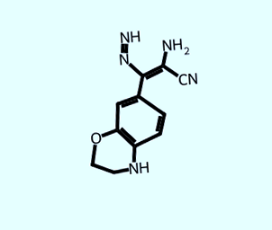 N#C/C(N)=C(/N=N)c1ccc2c(c1)OCCN2